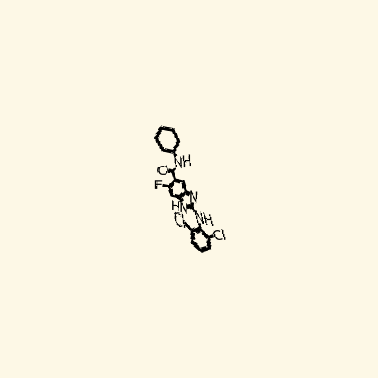 O=C(NC1CCCCC1)c1cc2nc(Nc3c(Cl)cccc3Cl)[nH]c2cc1F